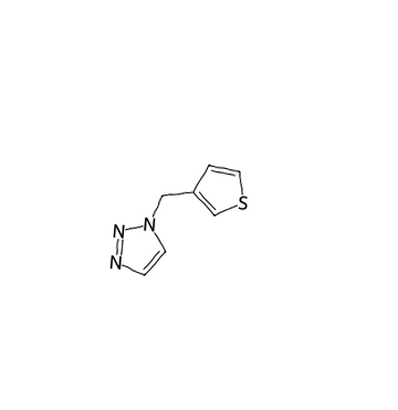 c1cn(Cc2ccsc2)nn1